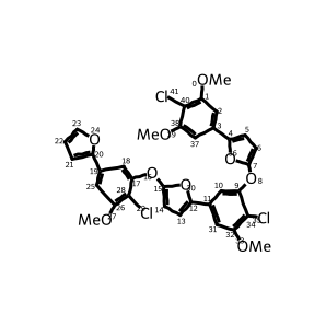 COc1cc(-c2ccc(Oc3cc(-c4ccc(Oc5cc(-c6ccco6)cc(OC)c5Cl)o4)cc(OC)c3Cl)o2)cc(OC)c1Cl